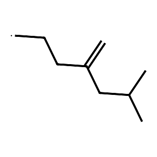 [CH2]CCC(=C)CC(C)C